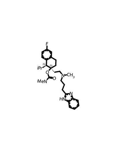 CNC(=O)O[C@]1(CCN(C)CCCc2nc3ccccc3[nH]2)CCc2cc(F)ccc2[C@@H]1C(C)C